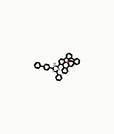 c1ccc(C2=NC(c3ccc4c(oc5c(-c6ccccc6)cccc54)c3-c3ccccc3-c3ccccc3)NC(c3ccc(-c4ccccc4)cc3)=N2)cc1